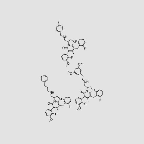 COc1cc(CCNCC2CSc3c(Cc4c(F)cccc4F)c(C)c(-c4cccc(OC)c4F)c(=O)n32)cc(OC)c1.COc1cccc(-c2c(C)c(Cc3c(F)cccc3F)c3n(c2=O)C(CNCCCc2ccccc2)CS3)c1F.COc1cccc(-c2c(C)c(Cc3c(F)cccc3F)c3n(c2=O)C(CNCc2ccc(C)cc2)CS3)c1F